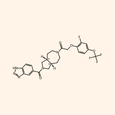 O=C(COc1ccc(OC(F)(F)F)cc1F)N1CC[C@@H]2CN(C(=O)c3ccc4[nH]nnc4c3)C[C@@H]2CC1